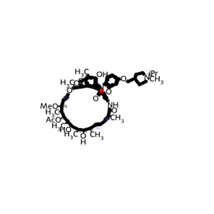 CO[C@H]1/C=C/O[C@@]2(C)Oc3c(C)c(O)c4c(=O)c(c5oc6cc(OCC7CC[N+](C)(C(C)C)CC7)ccc6nc-5c4c3C2=O)NC(=O)/C(C)=C\C=C\[C@H](C)[C@H](O)[C@@H](C)[C@@H](O)[C@@H](C)[C@H](OC(C)=O)[C@@H]1C